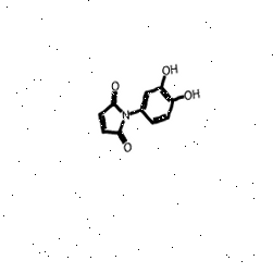 O=C1C=CC(=O)N1c1ccc(O)c(O)c1